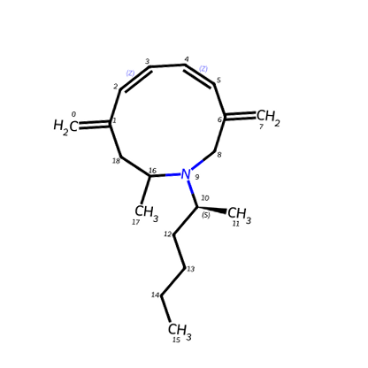 C=C1/C=C\C=C/C(=C)CN([C@@H](C)CCCC)C(C)C1